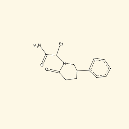 CCC(C(N)=O)N1CC(c2ccccc2)CCC1=O